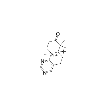 CC1(C)C(=O)CC[C@]2(C)c3ncncc3CC[C@@H]12